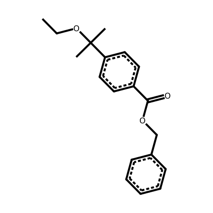 CCOC(C)(C)c1ccc(C(=O)OCc2ccccc2)cc1